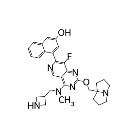 CN(CC1CNC1)c1nc(OCC23CCCN2CCC3)nc2c(F)c(-c3cc(O)cc4ccccc34)ncc12